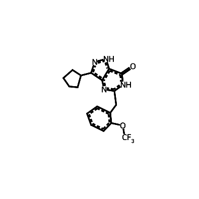 O=c1[nH]c(Cc2ccccc2OC(F)(F)F)nc2c(C3CCCC3)n[nH]c12